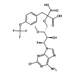 CO[C@H](COC(Cc1ccc(OC(F)(F)F)cc1)(C(=O)O)C(=O)O)[C@@H](O)[C@H](F)n1cnc2c(N)nc(Cl)nc21